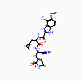 COc1ccc2[nH]c(C(=O)NC(CC3CC3)C(=O)NC(C#N)CC3CCNC3=O)nc2c1Cl